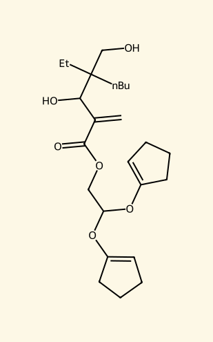 C=C(C(=O)OCC(OC1=CCCC1)OC1=CCCC1)C(O)C(CC)(CO)CCCC